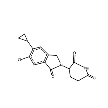 O=C1CCC(N2Cc3cc(C4CC4)c(Cl)cc3C2=O)C(=O)N1